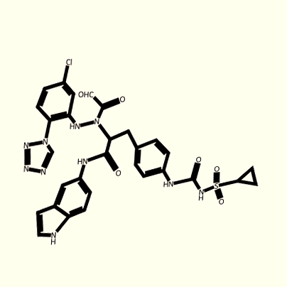 O=CC(=O)N(Nc1cc(Cl)ccc1-n1cnnn1)C(Cc1ccc(NC(=O)NS(=O)(=O)C2CC2)cc1)C(=O)Nc1ccc2[nH]ccc2c1